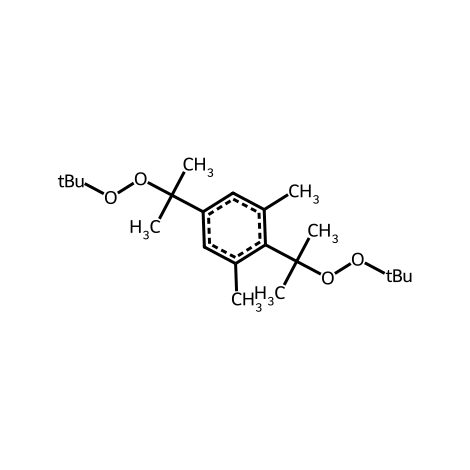 Cc1cc(C(C)(C)OOC(C)(C)C)cc(C)c1C(C)(C)OOC(C)(C)C